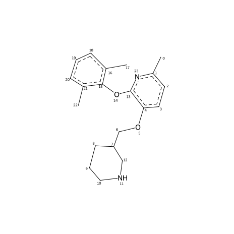 Cc1ccc(OCC2CCCNC2)c(Oc2c(C)cccc2C)n1